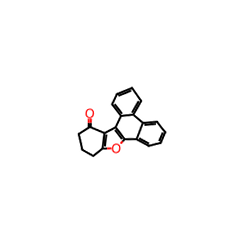 O=C1CCCc2oc3c4ccccc4c4ccccc4c3c21